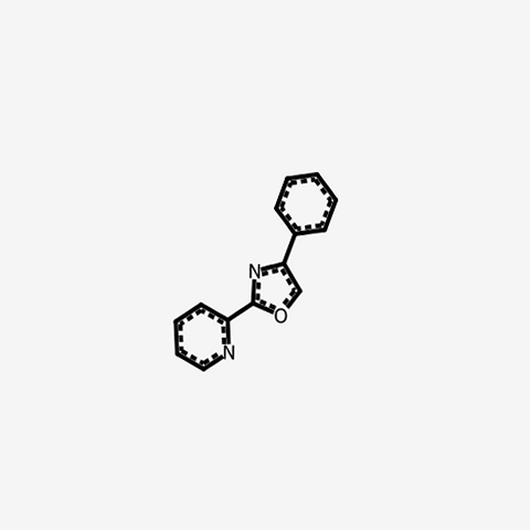 c1ccc(-c2coc(-c3ccccn3)n2)cc1